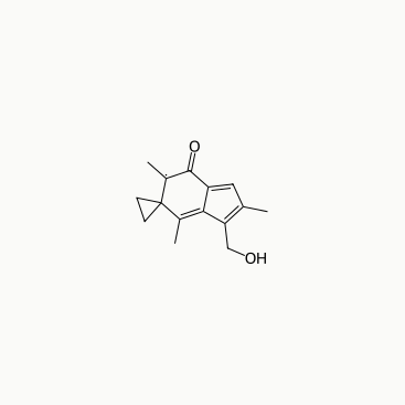 C[C]1C(=O)C2=CC(C)=C(CO)C2=C(C)C12CC2